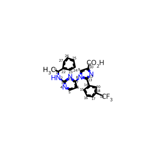 CC(Nc1nccc(-n2cc(C(=O)O)nc2-c2cccc(C(F)(F)F)c2)n1)c1ccccc1